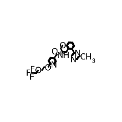 Cc1cncc(-c2cccc3c2C[C@H](NC(=O)c2ccc(OCCOCC(F)(F)F)nc2)CO3)n1